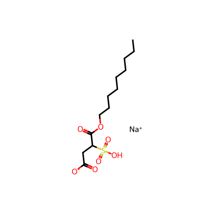 CCCCCCCCCOC(=O)C(CC(=O)[O-])S(=O)(=O)O.[Na+]